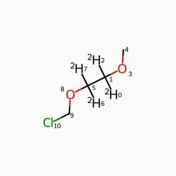 [2H]C([2H])(OC)C([2H])([2H])OCCl